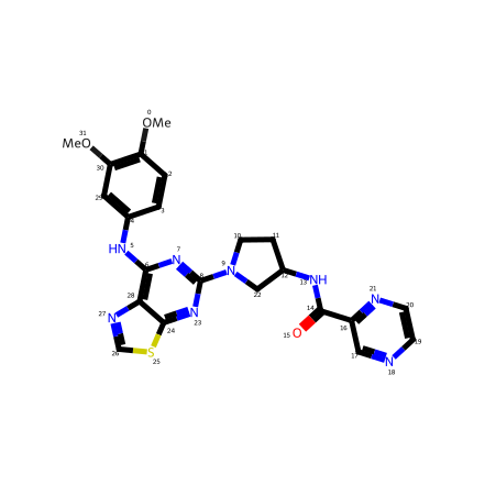 COc1ccc(Nc2nc(N3CCC(NC(=O)c4cnccn4)C3)nc3scnc23)cc1OC